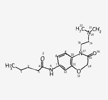 CCCCC(=O)Nc1ccc2c(c1)OCC(=O)N2CCN(C)C